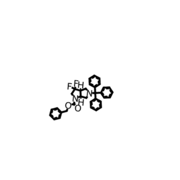 O=C(OCc1ccccc1)N1CC(F)(F)[C@@H]2CN(C(c3ccccc3)(c3ccccc3)c3ccccc3)C[C@@H]21